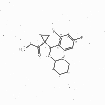 CCC(=O)C1(C(OC2CCCCO2)c2ccc(F)cc2F)CC1